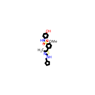 COc1ccc(-c2sc(NCC3CCCC3)nc2C)cc1S(=O)(=O)Nc1ccc(O)cc1